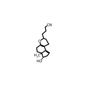 CC12CCC3=C(CCC(CCCC#N)O3)C1=CC[C@H]2O